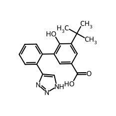 CC(C)(C)c1cc(C(=O)O)cc(-c2ccccc2-c2c[nH]nn2)c1O